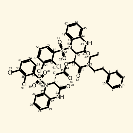 CCN(CCc1ccncc1)C(=O)C(OC(=O)C[C@@H]1C(=O)Nc2ccccc2N1S(=O)(=O)c1cccc(Cl)c1Cl)[C@@H]1C(=O)Nc2ccccc2N1S(=O)(=O)c1cccc(Cl)c1Cl